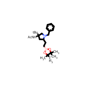 CC(=O)NC1(C(C)(C)C)CC(CCB2OC(C)(C)C(C)(C)O2)N(Cc2ccccc2)C1